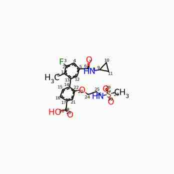 Cc1c(F)cc(C(=O)NC2CC2)cc1-c1ccc(C(=O)O)cc1OCCNS(C)(=O)=O